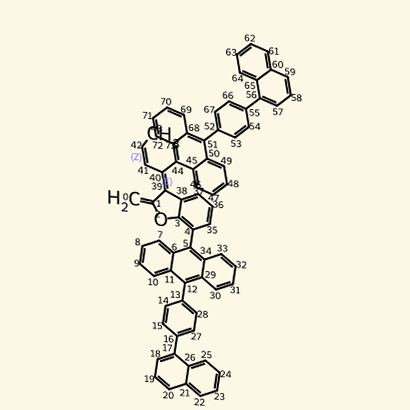 C=c1oc2c(-c3c4ccccc4c(-c4ccc(-c5cccc6ccccc56)cc4)c4ccccc34)cccc2/c1=C(/C=C\C)c1c2ccccc2c(-c2ccc(-c3cccc4ccccc34)cc2)c2ccccc12